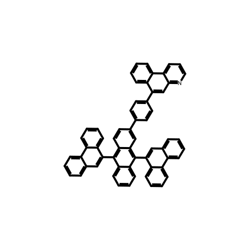 c1ccc2c(c1)cc(-c1c3ccccc3c(-c3cc4ccccc4c4ccccc34)c3cc(-c4ccc(-c5cc6ncccc6c6ccccc56)cc4)ccc13)c1ccccc12